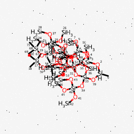 C[SiH](O[SiH2]O[SiH](O[SiH3])O[Si](O[SiH3])(O[Si](C)(C)O[Si](C)(C)C)O[Si](O[SiH3])(O[SiH3])O[SiH3])O[Si](O[Si](O[SiH3])(O[SiH3])O[SiH3])(O[Si](O[SiH3])(O[SiH3])O[SiH3])O[Si](O[SiH3])(O[Si](O[SiH3])(O[SiH3])O[SiH3])O[Si](O[SiH3])(O[SiH3])O[SiH2]O[Si](C)(C)C